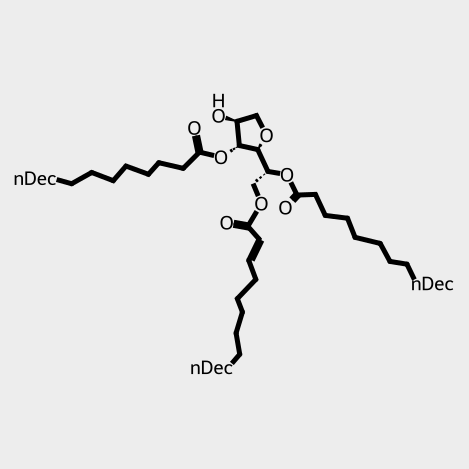 CCCCCCCCCCCCCCCC=CC(=O)OC[C@@H](OC(=O)CCCCCCCCCCCCCCCCC)[C@H]1OC[C@H](O)[C@H]1OC(=O)CCCCCCCCCCCCCCCCC